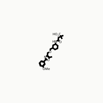 COc1cccc(-c2nc(COCC3CCCC(NC(=O)CC(C)(C)C(=O)O)C3)c(C)o2)c1